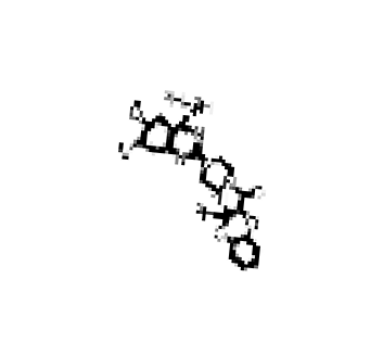 [2H]N([2H])c1nc(N2CCN(C(=O)C3Oc4ccccc4OC3([2H])[2H])CC2)nc2cc(OC)c(OC)cc12